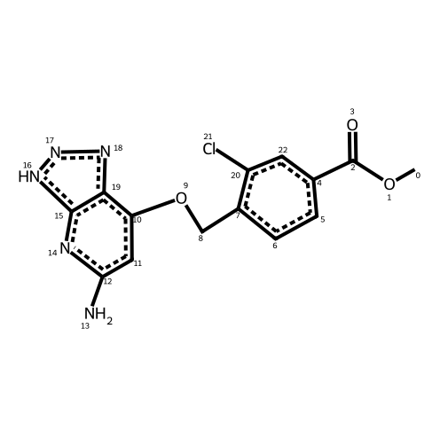 COC(=O)c1ccc(COc2cc(N)nc3[nH]nnc23)c(Cl)c1